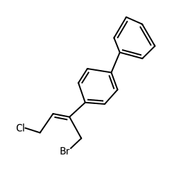 ClC/C=C(\CBr)c1ccc(-c2ccccc2)cc1